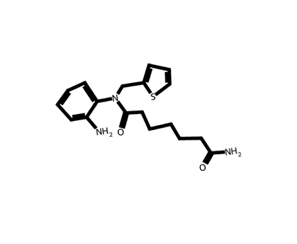 NC(=O)CCCCCC(=O)N(Cc1cccs1)c1ccccc1N